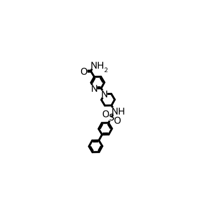 NC(=O)c1ccc(N2CCC(NS(=O)(=O)c3ccc(-c4ccccc4)cc3)CC2)nc1